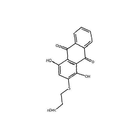 CCCCCCCCCCCCSc1cc(O)c2c(c1O)C(=O)c1ccccc1C2=O